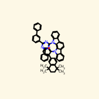 CC1(C)CCC(C)(C)c2cc(-c3ccccc3-n3c4ccccc4c4ccc5c6ccccc6n(-c6nc(-c7ccccc7)nc(-c7cccc(-c8ccccc8)c7)n6)c5c43)ccc21